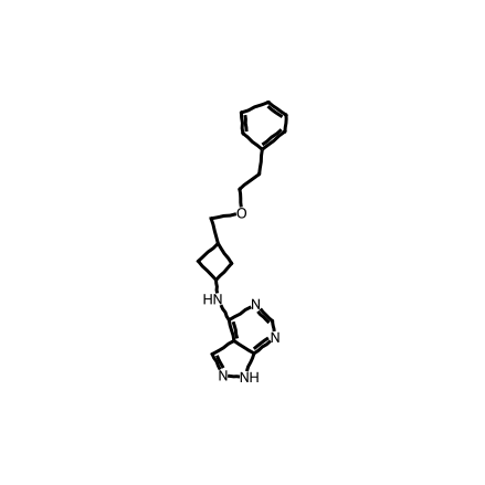 c1ccc(CCOCC2CC(Nc3ncnc4[nH]ncc34)C2)cc1